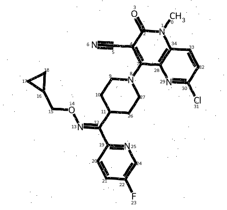 Cn1c(=O)c(C#N)c(N2CCC(/C(=N\OCC3CC3)c3ccc(F)cn3)CC2)c2nc(Cl)ccc21